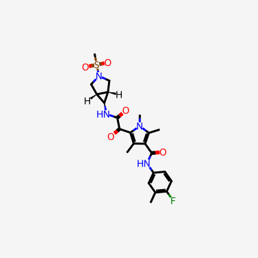 Cc1cc(NC(=O)c2c(C)c(C(=O)C(=O)N[C@H]3[C@@H]4CN(S(C)(=O)=O)C[C@@H]43)n(C)c2C)ccc1F